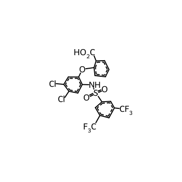 O=C(O)c1ccccc1Oc1cc(Cl)c(Cl)cc1NS(=O)(=O)c1cc(C(F)(F)F)cc(C(F)(F)F)c1